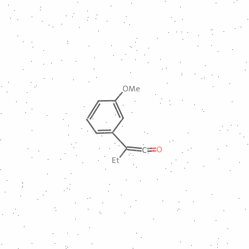 CCC(=C=O)c1cccc(OC)c1